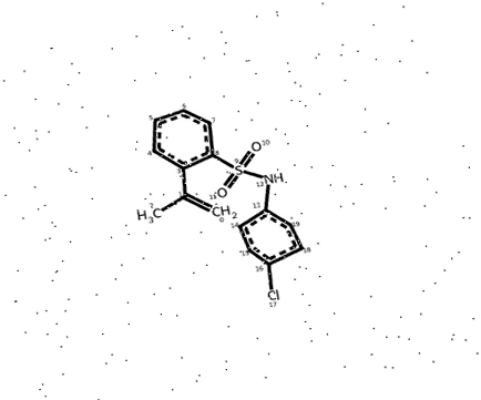 C=C(C)c1ccccc1S(=O)(=O)Nc1ccc(Cl)cc1